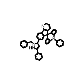 C1=CC2=C(NC1)c1ccc(C3C=C(c4ccccc4)NN3Cc3ccccc3)cc1C21c2ccccc2N(c2ccccc2)c2ccccc21